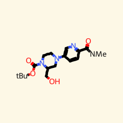 CNC(=O)c1ccc(N2CCN(C(=O)OC(C)(C)C)C(CO)C2)cn1